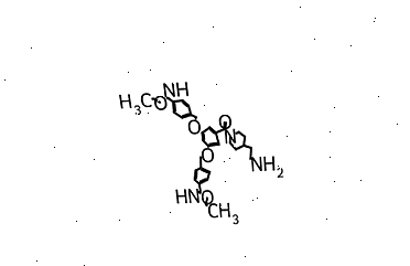 CCOC(=N)c1ccc(COc2cc(OCc3ccc(C(=N)OCC)cc3)cc(C(=O)N3CCC(CCN)CC3)c2)cc1